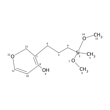 CO[Si](C)(CCCC1=C(O)C=COC1)OC